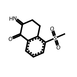 CS(=O)(=O)c1cccc2c1CCC(=N)C2=O